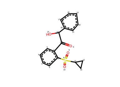 O=C(c1ccccc1S(=O)(=O)C1CC1)C(O)c1ccccc1